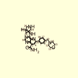 NC(=O)c1cc(-c2ccc(CN3CCOCC3)cc2)nc2c(N[C@]34CNC[C@H]3C4)ncnc12